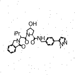 CC(C)C(C(=O)N1C[C@H](O)C[C@H]1C(=O)NCc1ccc(-c2ccnn2C)cc1)N1Cc2ccccc2C1=O